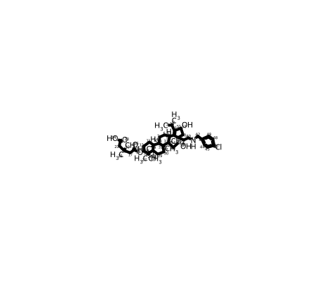 CC(C)C1=C2[C@H]3CC[C@@H]4[C@@]5(C)CC[C@H](OC(=O)CC(C)(C)CC(=O)O)C(C)(C)[C@@H]5CC[C@@]4(C)[C@]3(C)CC[C@@]2([C@@H](O)CNCc2ccc(Cl)cc2)CC1O